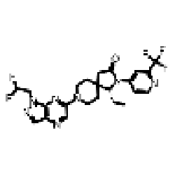 CC[C@H]1N(c2ccnc(C(F)(F)F)c2)C(=O)CC12CCN(c1cnc3cnn(CC(F)F)c3n1)CC2